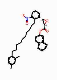 Cc1ccc(CCCCCCCCCCc2c([C@@H]3O[C@H]3C(=O)Oc3ccc4ccccc4c3)cccc2[N+](=O)[O-])c(C)c1